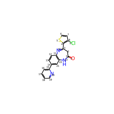 O=C1CC(c2sccc2Cl)=Nc2ccc(-c3ccccn3)cc2N1